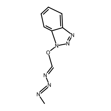 CN=NN=COn1nnc2ccccc21